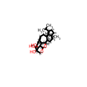 CC(C)C1=C2[C@H]3CC=C4C(O)C5(O)COC6O[C@@H]([C@@H]4C6C5O)[C@]3(C)CC[C@@]2(C)CC1